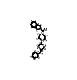 O=C(C1Cc2ccccc2C1)N1CCN(C2COC(Cc3ccccc3)CO2)CC1